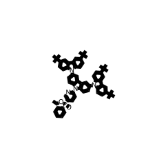 CCOP(=O)(c1ccccc1)c1ccc(-n2c3ccc(-n4c5ccc(C(C)(C)C)cc5c5cc(C(C)(C)C)ccc54)cc3c3cc(-n4c5ccc(C(C)(C)C)cc5c5cc(C(C)(C)C)ccc54)ccc32)nc1